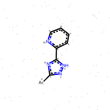 CC(=O)c1n[nH]c(-c2ccccn2)n1